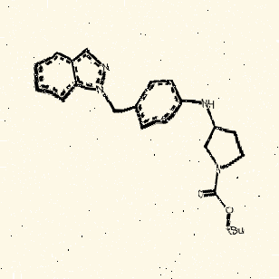 CC(C)(C)OC(=O)N1CCC(Nc2ccc(Cn3ncc4ccccc43)cc2)C1